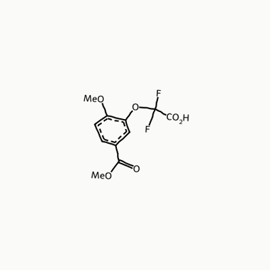 COC(=O)c1ccc(OC)c(OC(F)(F)C(=O)O)c1